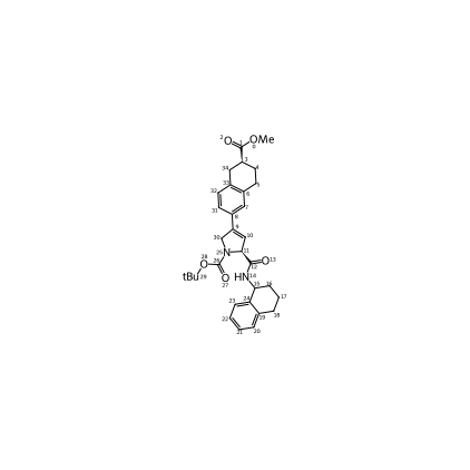 COC(=O)[C@H]1CCc2cc(C3=C[C@@H](C(=O)NC4CCCc5ccccc54)N(C(=O)OC(C)(C)C)C3)ccc2C1